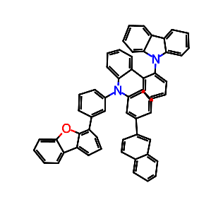 c1cc(-c2ccc3ccccc3c2)cc(N(c2cccc(-c3cccc4c3oc3ccccc34)c2)c2ccccc2-c2ccccc2-n2c3ccccc3c3ccccc32)c1